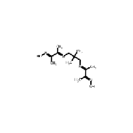 CC(=N\O)/C(C)=N/CC(C)(C)C/N=C(C)/C(C)=N/O